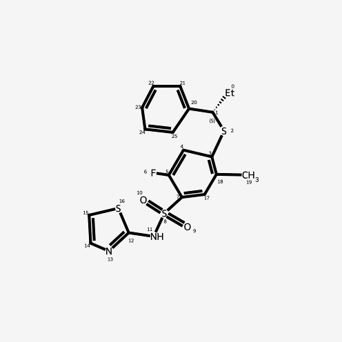 CC[C@H](Sc1cc(F)c(S(=O)(=O)Nc2nccs2)cc1C)c1ccccc1